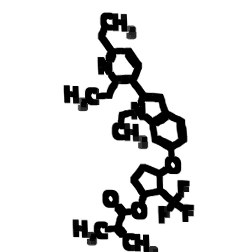 C=C(C)C(=O)OC1CCC(Oc2ccc3cc(-c4ccc(CC)nc4CC)n(CC)c3c2)C1C(F)(F)F